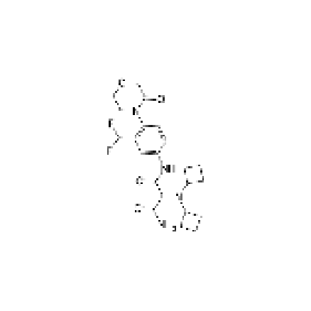 NC(=O)[C@H](C(=O)Nc1ccc(N2CCOCC2=O)c(C(F)F)c1)N(C1CCC1)C1CCC1